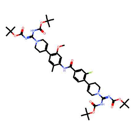 COc1cc(NC(=O)c2ccc(C3=CCN(C(=NC(=O)OC(C)(C)C)NC(=O)OC(C)(C)C)CC3)c(F)c2)c(C)cc1C1=CCN(C(=NC(=O)OC(C)(C)C)NC(=O)OC(C)(C)C)CC1